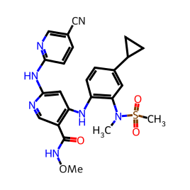 CONC(=O)c1cnc(Nc2ccc(C#N)cn2)cc1Nc1ccc(C2CC2)cc1N(C)S(C)(=O)=O